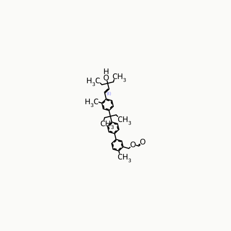 CCC(O)(/C=C/c1ccc(C(CC)(CC)c2ccc(-c3ccc(C)c(COC=O)c3)cc2)cc1C)CC